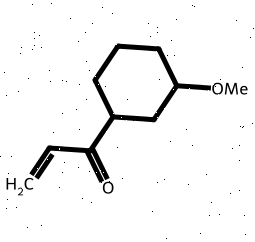 C=CC(=O)C1CCCC(OC)C1